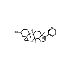 C[C@]12CC[C@H]3[C@@H](CC4CC45C[C@@H](O)CC[C@]35C)[C@@H]1CC=C2c1cccnc1